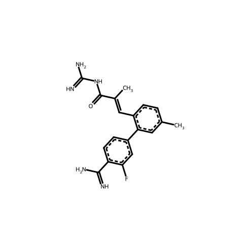 C/C(=C\c1ccc(C)cc1-c1ccc(C(=N)N)c(F)c1)C(=O)NC(=N)N